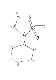 CS(=O)(=O)N(SCl)C1CCCCC1